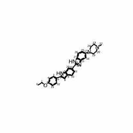 CCOc1ccc(-c2cc3ccc(-c4nc5cc(N6CCN(C)CC6)ccc5[nH]4)cc3[nH]2)cc1